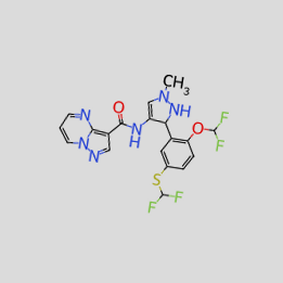 CN1C=C(NC(=O)c2cnn3cccnc23)C(c2cc(SC(F)F)ccc2OC(F)F)N1